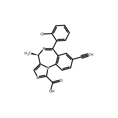 C#Cc1ccc2c(c1)C(c1ccccc1Cl)=N[C@H](C)c1cnc(C(=O)O)n1-2